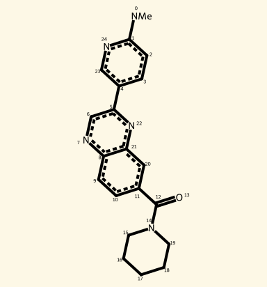 CNc1ccc(-c2cnc3ccc(C(=O)N4CCCCC4)cc3n2)cn1